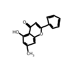 Cc1cc(O)c2c(=O)cc(-c3ccccc3)oc2c1